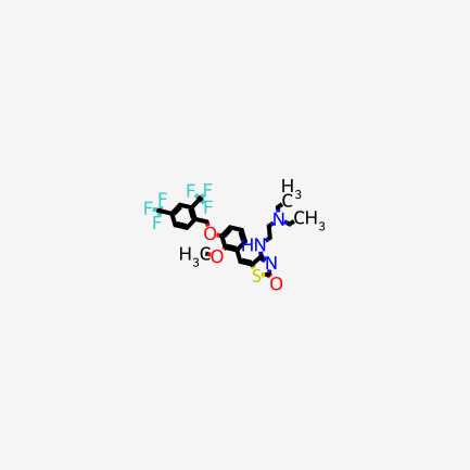 CCN(CC)CCNC1=NC(=O)SC1=Cc1cccc(OCc2ccc(C(F)(F)F)cc2C(F)(F)F)c1OC